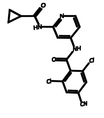 N#Cc1cc(Cl)c(C(=O)Nc2ccnc(NC(=O)C3CC3)c2)c(Cl)c1